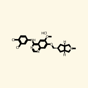 COc1cc2c(Nc3ccc(Cl)c(Cl)c3)ncnc2cc1OC[C@H]1C[C@@H]2CN(C)C[C@@H]2C1.Cl